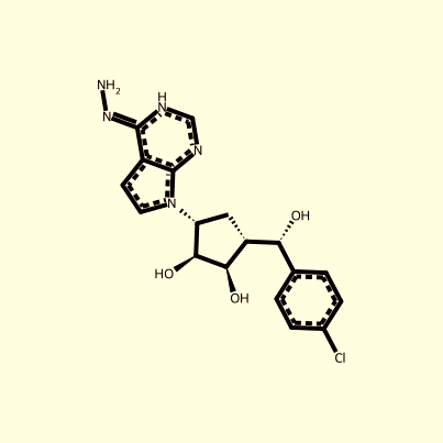 N/N=c1\[nH]cnc2c1ccn2[C@@H]1C[C@H]([C@H](O)c2ccc(Cl)cc2)[C@@H](O)[C@H]1O